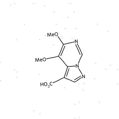 COc1ncn2ncc(C(=O)O)c2c1OC